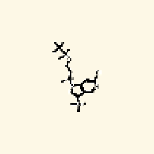 C[C@@H](CCO[Si](C)(C)C(C)(C)C)n1n[c]([Sn]([CH3])([CH3])[CH3])c2cnc(Cl)cc21